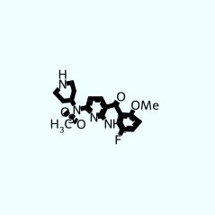 COc1ccc(F)cc1C(=O)c1ccc(N(C2CCNCC2)S(C)(=O)=O)nc1N